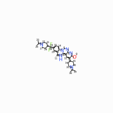 COc1nc2ncnc(N[C@H](C)c3cccc(C(F)(F)C4CCN(C(C)C)CC4)c3)c2cc1C1CCN(C(C)C)CC1